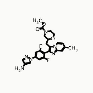 COC(=O)N1CCOC(Cc2c(-c3c(F)cc(-n4cc(N)cn4)cc3F)nc3cc(C)ccn23)C1